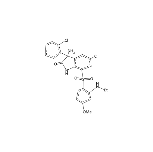 CCNc1cc(OC)ccc1S(=O)(=O)c1cc(Cl)cc2c1NC(=O)C2(N)c1ccccc1Cl